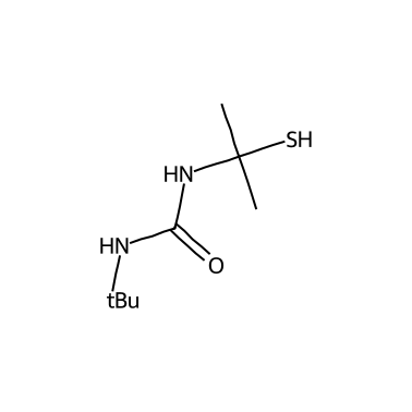 CC(C)(C)NC(=O)NC(C)(C)S